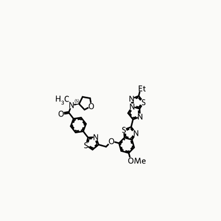 CCc1nn2cc(-c3nc4cc(OC)cc(OCc5csc(-c6ccc(C(=O)N(C)[C@H]7CCOC7)cc6)n5)c4s3)nc2s1